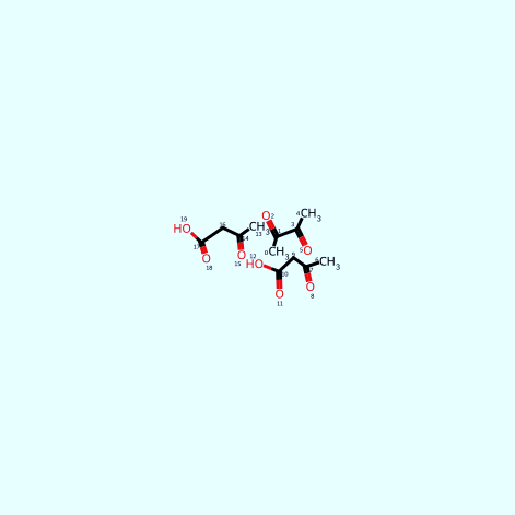 CC(=O)C(C)=O.CC(=O)CC(=O)O.CC(=O)CC(=O)O